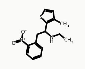 CCNC(Cc1ccccc1[N+](=O)[O-])c1sccc1C